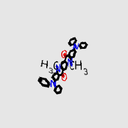 Cn1c2ccc(N(c3ccccc3)c3ccccc3)cc2c(=O)c2cc3c(cc21)c(=O)c1cc(N(c2ccccc2)c2ccccc2)ccc1n3C